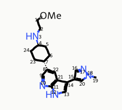 COCCN[C@H]1CC[C@H](c2cnc3[nH]cc(-c4cnn(C)c4)c3c2)CC1